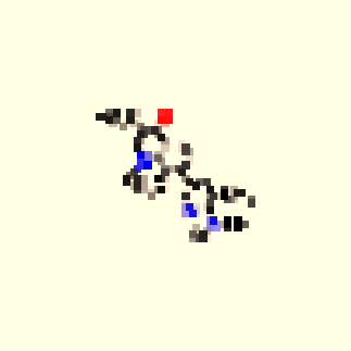 CC(=O)N(C)c1ncc(-c2ccc3c(=O)c(C(=O)O)cn(C4CC4)c3c2C)cc1C